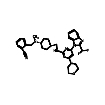 CN(Cc1ccccc1C#N)[C@H]1CC[C@H](CNc2nc(N3CCOCC3)cc(-n3c(C(F)F)nc4ccccc43)n2)CC1